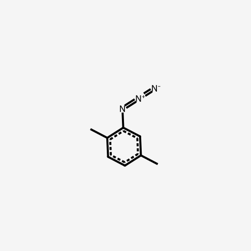 Cc1ccc(C)c(N=[N+]=[N-])c1